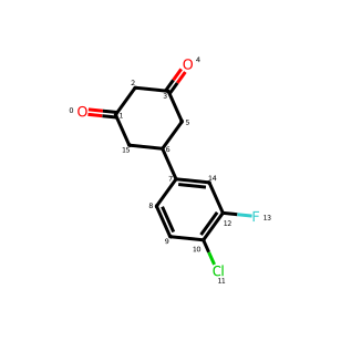 O=C1CC(=O)CC(c2ccc(Cl)c(F)c2)C1